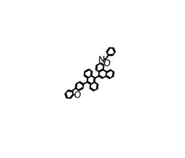 c1ccc(-c2nc3ccc4c(-c5c6ccccc6c(-c6ccc7c(c6)oc6ccccc67)c6ccccc56)cc5ccccc5c4c3o2)cc1